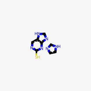 Sc1ncc2[nH]cnc2n1.c1c[nH]cn1